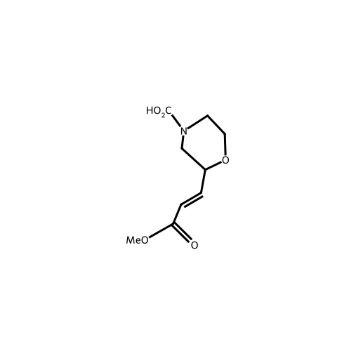 COC(=O)C=CC1CN(C(=O)O)CCO1